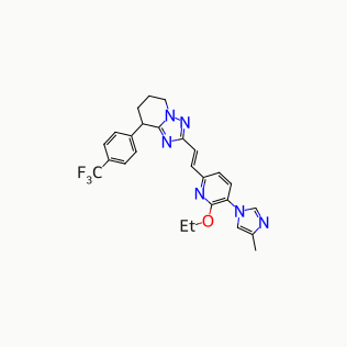 CCOc1nc(C=Cc2nc3n(n2)CCCC3c2ccc(C(F)(F)F)cc2)ccc1-n1cnc(C)c1